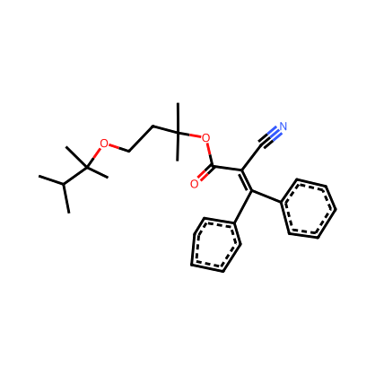 CC(C)C(C)(C)OCCC(C)(C)OC(=O)C(C#N)=C(c1ccccc1)c1ccccc1